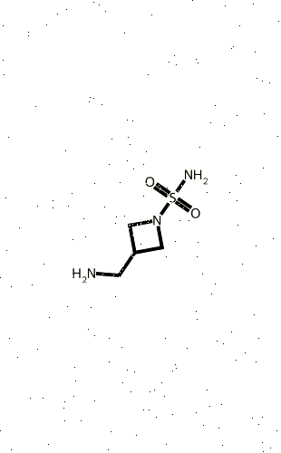 NCC1CN(S(N)(=O)=O)C1